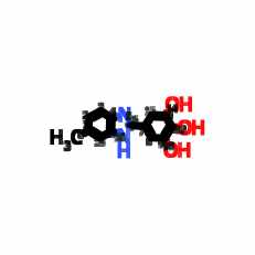 Cc1ccc2nc(-c3cc(O)c(O)c(O)c3)[nH]c2c1